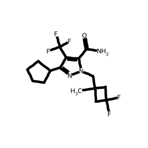 CC1(Cn2nc(C3CCCC3)c(C(F)(F)F)c2C(N)=O)CC(F)(F)C1